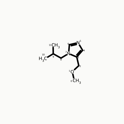 COCc1cncn1CC(C)C